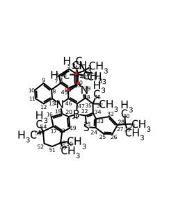 CC(C)(C)c1ccc(-c2ccccc2N2c3cc4c(cc3B3c5sc6ccc(C(C)(C)C)cc6c5C(C)(C)c5nc(C(C)(C)C)cc2c53)C(C)(C)CCC4(C)C)cc1